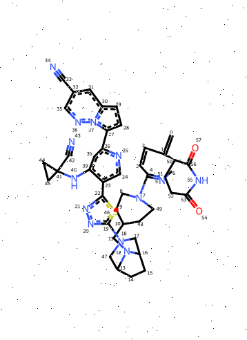 C=C(/C=C\C(=N/C)N1CCC(CN2C3CCC2CN(c2nnc(-c4cnc(-c5ccc6cc(C#N)cnn56)cc4NC4(C#N)CC4)s2)C3)CC1)[C@@H]1CCC(=O)NC1=O